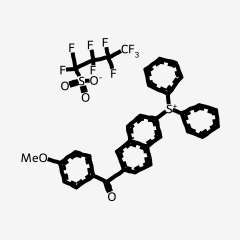 COc1ccc(C(=O)c2ccc3cc([S+](c4ccccc4)c4ccccc4)ccc3c2)cc1.O=S(=O)([O-])C(F)(F)C(F)(F)C(F)(F)C(F)(F)F